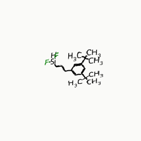 CC(C)(C)c1cc(CCC[SiH](F)F)cc(C(C)(C)C)c1